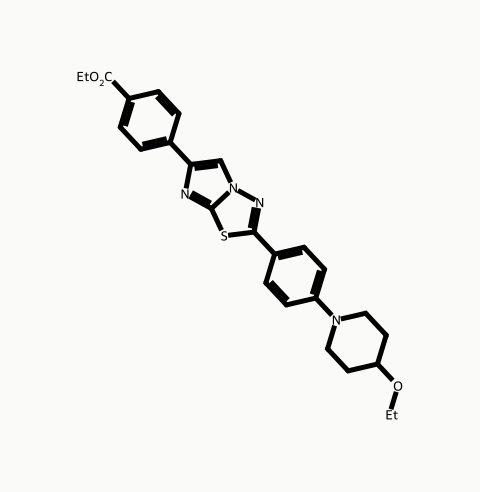 CCOC(=O)c1ccc(-c2cn3nc(-c4ccc(N5CCC(OCC)CC5)cc4)sc3n2)cc1